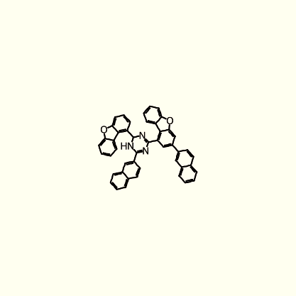 c1ccc2cc(C3=NC(c4cc(-c5ccc6ccccc6c5)cc5oc6ccccc6c45)=NC(c4cccc5oc6ccccc6c45)N3)ccc2c1